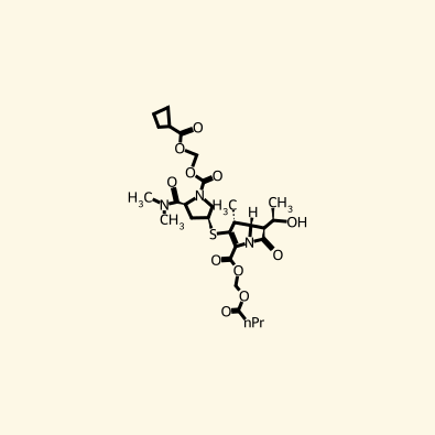 CCCC(=O)OCOC(=O)C1=C(S[C@H]2C[C@@H](C(=O)N(C)C)N(C(=O)OCOC(=O)C3CCC3)C2)[C@H](C)[C@@H]2[C@@H]([C@@H](C)O)C(=O)N12